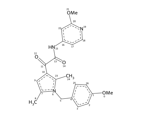 COc1ccc(Cn2c(C)cc(C(=O)C(=O)Nc3ccnc(OC)c3)c2C)cc1